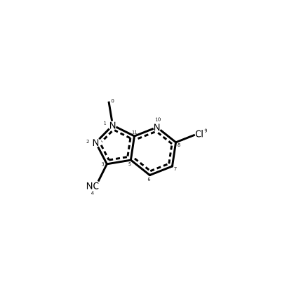 Cn1nc(C#N)c2ccc(Cl)nc21